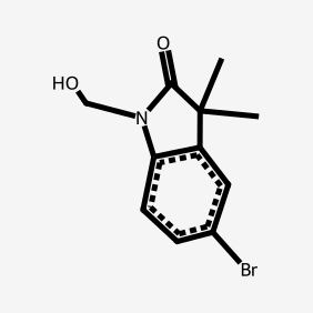 CC1(C)C(=O)N(CO)c2ccc(Br)cc21